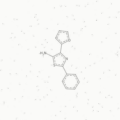 Nc1sc(-c2ccccc2)nc1-c1ccco1